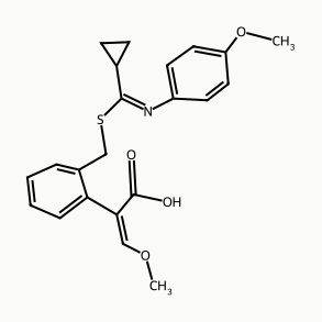 COC=C(C(=O)O)c1ccccc1CSC(=Nc1ccc(OC)cc1)C1CC1